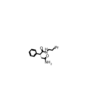 CC(C)CCNC(=O)[C@H](CC(N)=O)c1ccccc1